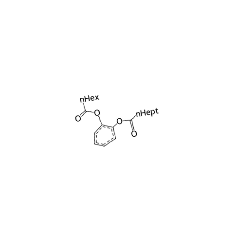 CCCCCCCC(=O)Oc1ccccc1OC(=O)CCCCCC